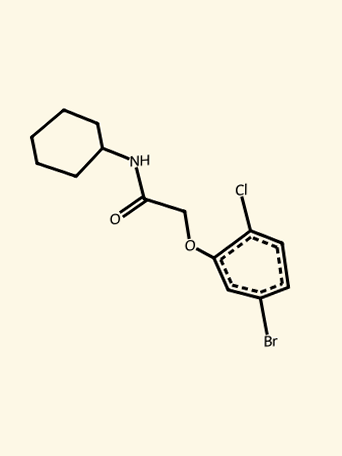 O=C(COc1cc(Br)ccc1Cl)NC1CCCCC1